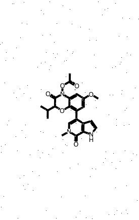 COc1cc(-c2cn(C)c(=O)c3[nH]ccc23)c2c(c1)N(OC(C)=O)C(=O)C(C(C)C)O2